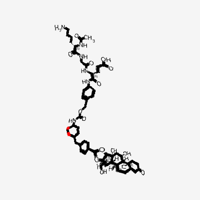 CC(=O)N[C@@H](CCCCN)C(=O)NCC(=O)N[C@@H](CCC(=O)O)C(=O)Nc1ccc(COC(=O)NC23CCC(Cc4ccc(C5O[C@@H]6C[C@H]7[C@@H]8CCC9=CC(=O)C=C[C@]9(C)[C@H]8[C@@H](O)C[C@]7(C)[C@]6(C(=O)CO)O5)cc4)(CC2)CC3)cc1